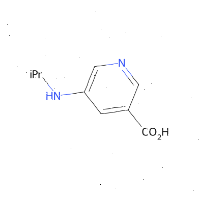 CC(C)Nc1cncc(C(=O)O)c1